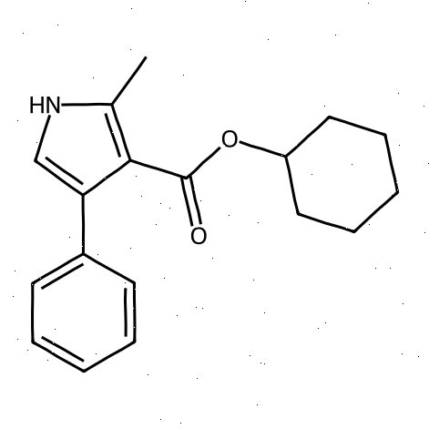 Cc1[nH]cc(-c2ccccc2)c1C(=O)OC1CCCCC1